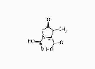 CC1C(=O)CN(C(=O)O)[C@@H]1C(=O)O